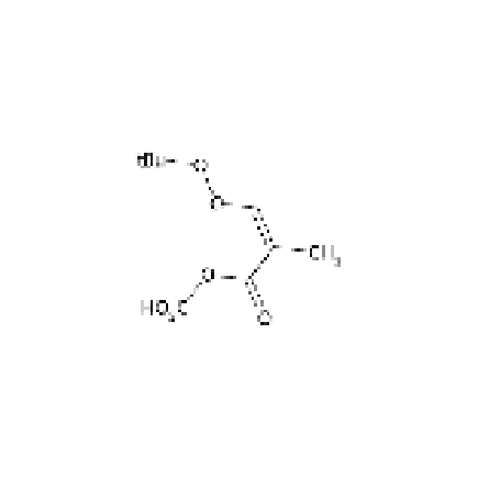 CC(=COOC(C)(C)C)C(=O)OC(=O)O